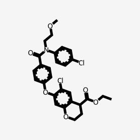 CCOC(=O)C1CCOc2cc(Oc3ccc(C(=O)N(CCOC)c4ccc(Cl)cc4)cc3)c(Cl)cc21